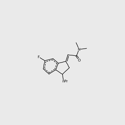 CCCC1CC(=CC(=O)N(C)C)c2cc(F)ccc21